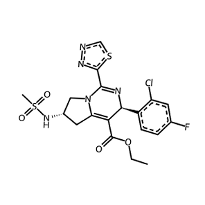 CCOC(=O)C1=C2C[C@H](NS(C)(=O)=O)CN2C(c2nncs2)=N[C@H]1c1ccc(F)cc1Cl